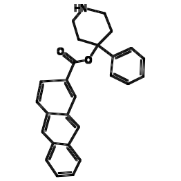 O=C(OC1(c2ccccc2)CCNCC1)c1ccc2cc3ccccc3cc2c1